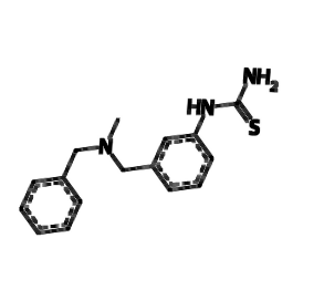 CN(Cc1ccccc1)Cc1cccc(NC(N)=S)c1